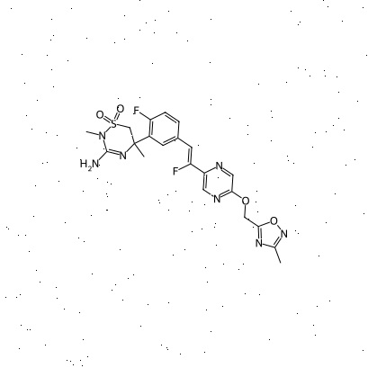 Cc1noc(COc2cnc(C(F)=Cc3ccc(F)c(C4(C)CS(=O)(=O)N(C)C(N)=N4)c3)cn2)n1